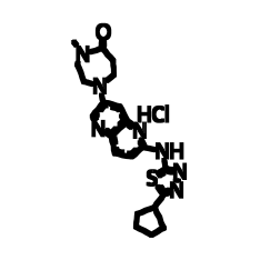 CN1CCN(c2cnc3ccc(Nc4nnc(C5CCCC5)s4)nc3c2)CCC1=O.Cl